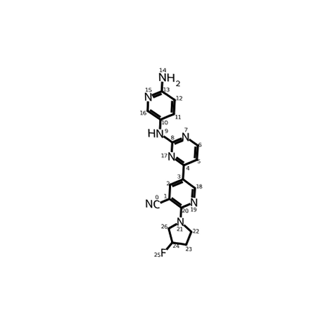 N#Cc1cc(-c2ccnc(Nc3ccc(N)nc3)n2)cnc1N1CCC(F)C1